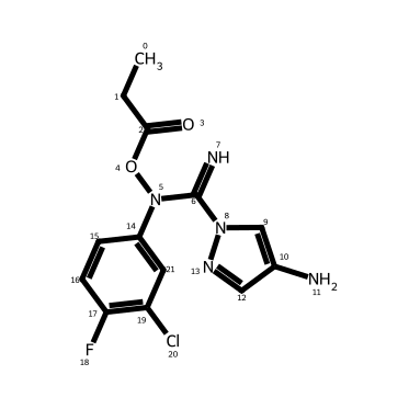 CCC(=O)ON(C(=N)n1cc(N)cn1)c1ccc(F)c(Cl)c1